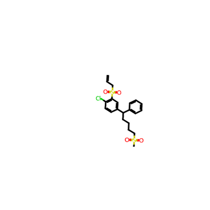 C=CCS(=O)(=O)c1cc(C(CCCCS(C)(=O)=O)c2ccccc2)ccc1Cl